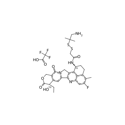 CC[C@@]1(O)C(=O)OCc2c1cc1n(c2=O)Cc2c-1nc1cc(F)c(C)c3c1c2[C@@H](NC(=O)CSSC(C)(C)CN)CC3.O=C(O)C(F)(F)F